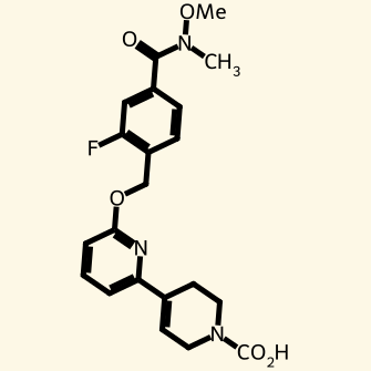 CON(C)C(=O)c1ccc(COc2cccc(C3=CCN(C(=O)O)CC3)n2)c(F)c1